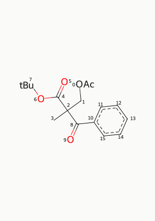 CC(=O)OCC(C)(C(=O)OC(C)(C)C)C(=O)c1ccccc1